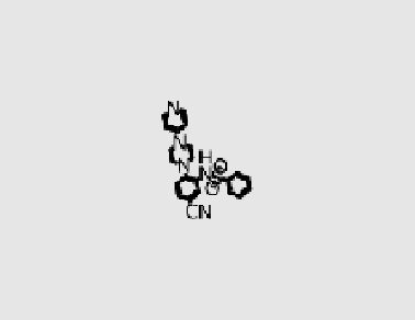 N#Cc1ccc(N2CCN(c3ccncc3)CC2)c(NS(=O)(=O)c2ccccc2)c1